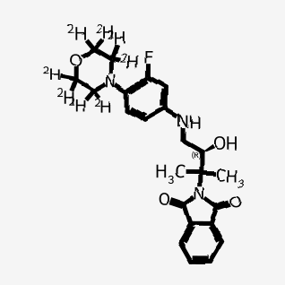 [2H]C1([2H])OC([2H])([2H])C([2H])([2H])N(c2ccc(NC[C@@H](O)C(C)(C)N3C(=O)c4ccccc4C3=O)cc2F)C1([2H])[2H]